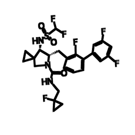 O=C(NCC1(F)CC1)N1CC2(CC2)[C@H](NS(=O)(=O)C(F)F)[C@@H]1Cc1cccc(-c2cc(F)cc(F)c2)c1F